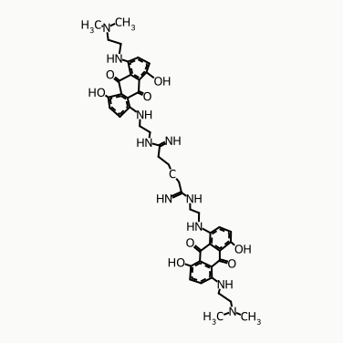 CN(C)CCNc1ccc(O)c2c1C(=O)c1c(O)ccc(NCCNC(=N)CCCCC(=N)NCCNc3ccc(O)c4c3C(=O)c3c(O)ccc(NCCN(C)C)c3C4=O)c1C2=O